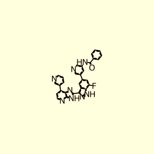 O=C(Nc1cncc(-c2cc(F)c3[nH]nc(-c4nc5c(-c6cccnc6)ccnc5[nH]4)c3c2)c1)c1ccccc1